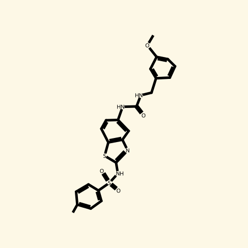 COc1cccc(CNC(=O)Nc2ccc3sc(NS(=O)(=O)c4ccc(C)cc4)nc3c2)c1